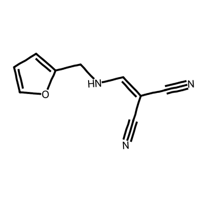 N#CC(C#N)=CNCc1ccco1